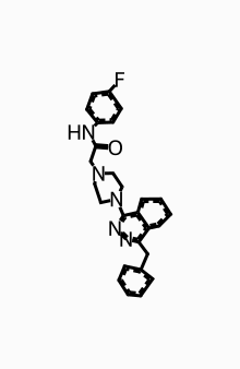 O=C(CN1CCN(c2nnc(Cc3ccccc3)c3ccccc23)CC1)Nc1ccc(F)cc1